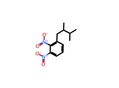 CC(C)C(C)Cc1cccc([N+](=O)[O-])c1[N+](=O)[O-]